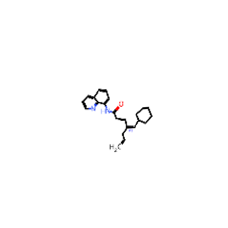 C=CC/C(=C/C1CCCCC1)CCC(=O)Nc1cccc2cccnc12